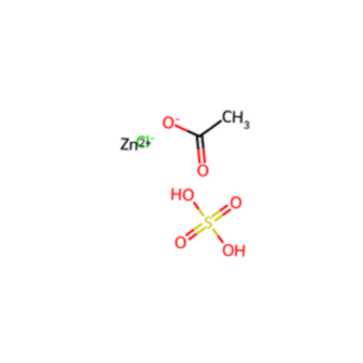 CC(=O)[O-].O=S(=O)(O)O.[Cl-].[Zn+2]